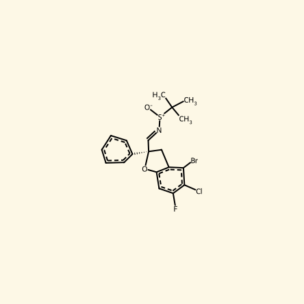 CC(C)(C)[S+]([O-])/N=C/[C@@]1(c2ccccc2)Cc2c(cc(F)c(Cl)c2Br)O1